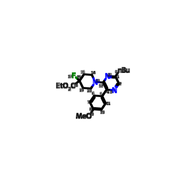 CCCCc1cnc(-c2ccc(OC)cc2)c(N2CCC(F)(C(=O)OCC)CC2)n1